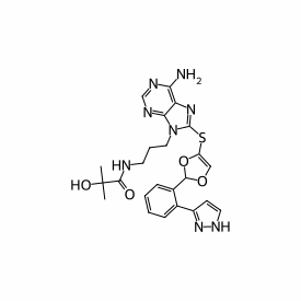 CC(C)(O)C(=O)NCCCn1c(SC2=COC(c3ccccc3-c3cc[nH]n3)O2)nc2c(N)ncnc21